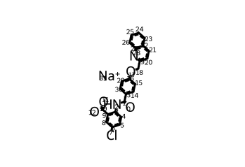 O=C(Nc1ccc(Cl)cc1C(=O)[O-])c1ccc(OCc2ccc3ccccc3n2)cc1.[Na+]